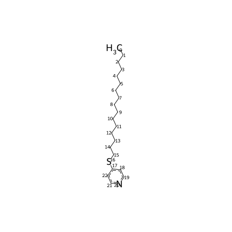 CCCCCCCCCCCCCCCCSc1ccncc1